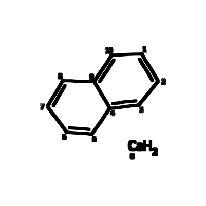 [CaH2].c1ccc2ccccc2c1